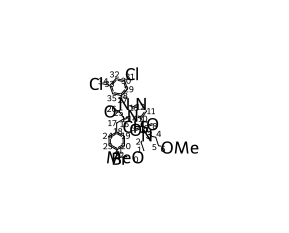 COCCN(CCOC)S(=O)(=O)c1cnc2n1[C@](C)(Cc1ccc(Br)cc1)C(=O)N2c1cc(Cl)cc(Cl)c1